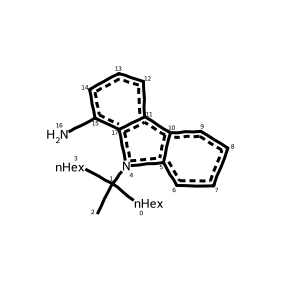 CCCCCCC(C)(CCCCCC)n1c2ccccc2c2cccc(N)c21